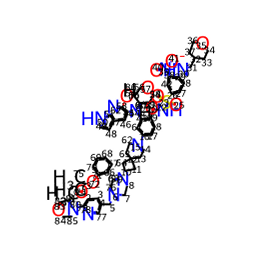 COc1cc(CN2CCN(C3CC4(CCN(c5ccc(C(=O)NS(=O)(=O)c6ccc(NCC7CCOCC7)c([N+](=O)[O-])c6)c(N6c7cc8cc[nH]c8nc7O[C@H]7COCC[C@@H]76)c5)CC4)C3)[C@@H](c3ccccc3OC(C)C)C2)cnc1N1CCOCC1